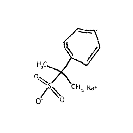 CC(C)(c1cc[c]cc1)S(=O)(=O)[O-].[Na+]